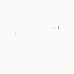 N/C=C(\C=Cc1cc2c(cc1-c1ccccc1N)cc1c3ccccc3c3ccccc3n21)c1ccccc1